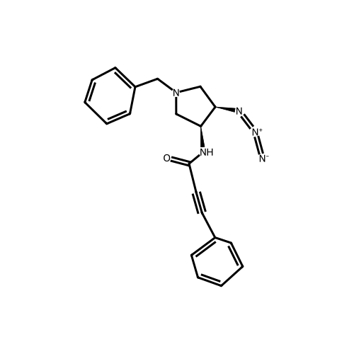 [N-]=[N+]=N[C@@H]1CN(Cc2ccccc2)C[C@@H]1NC(=O)C#Cc1ccccc1